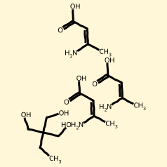 CC(N)=CC(=O)O.CC(N)=CC(=O)O.CC(N)=CC(=O)O.CCC(CO)(CO)CO